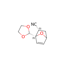 N#C[C@@H]1CC2C=C[C@]1(C1OCCO1)O2